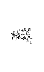 Cn1c(Cl)c(-c2cc(OC3CCOC3=O)c(Cl)cc2F)c(Cl)c1C(F)(F)F